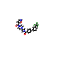 O=C(c1ccc(-c2cccc(C(F)(F)F)c2)cc1)N1CC(N2CCN(C(=O)c3ccno3)CC2)C1